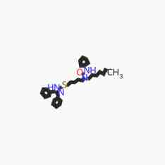 CCCCCCCN(CCCCCSc1nc(-c2ccccc2)c(-c2ccccc2)[nH]1)C(=O)Nc1ccccc1